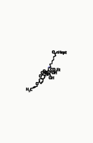 CC#CCOc1ccc(C[C@H](NC(=O)[C@@H](/C=C/CCCCCCC(=O)CCCCCCC)[C@@](O)(CCO)C(=O)OCC)C(=O)OC)cc1